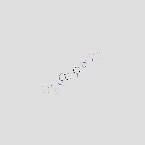 CCC(OC)[C@H](NC(=O)OC)C(=O)N1C[C@@H](C)CC1c1ncc(-c2ccc3c(c2)COc2cc4c(ccc5nc([C@@H]6CC[C@H](C)N6C(=O)[C@@H](NC(=O)OC)C(C)C)[nH]c54)cc2-3)[nH]1